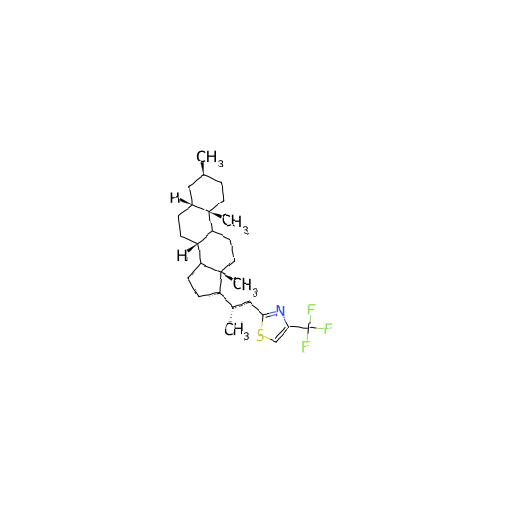 C[C@H]1CC[C@]2(C)C3CC[C@@]4(C)C(CCC4[C@@H](C)Cc4nc(C(F)(F)F)cs4)[C@@H]3CC[C@@H]2C1